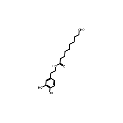 O=CCCCCCCCCC(=O)NCCc1ccc(O)c(O)c1